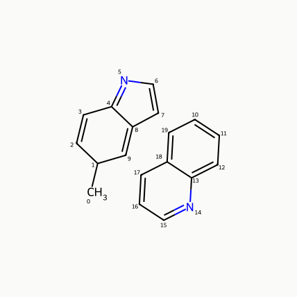 CC1C=CC2=NC=CC2=C1.c1ccc2ncccc2c1